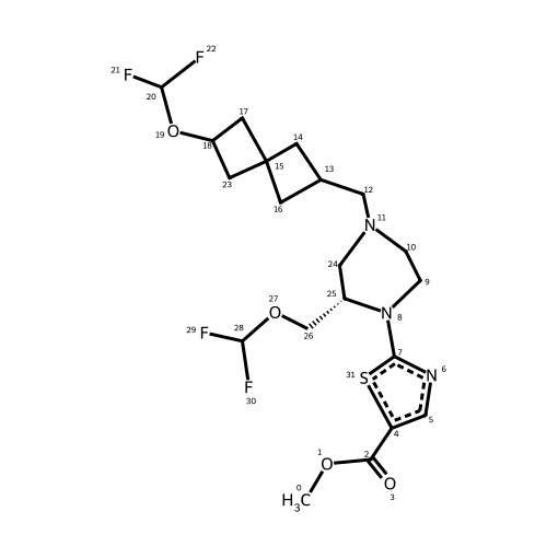 COC(=O)c1cnc(N2CCN(CC3CC4(C3)CC(OC(F)F)C4)C[C@H]2COC(F)F)s1